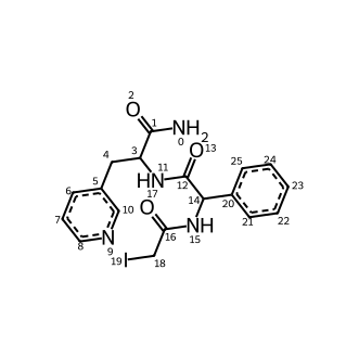 NC(=O)C(Cc1cccnc1)NC(=O)C(NC(=O)CI)c1ccccc1